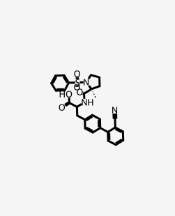 C[C@@]1(C(=O)NC(Cc2ccc(-c3ccccc3C#N)cc2)C(=O)O)CCCN1S(=O)(=O)c1ccccc1